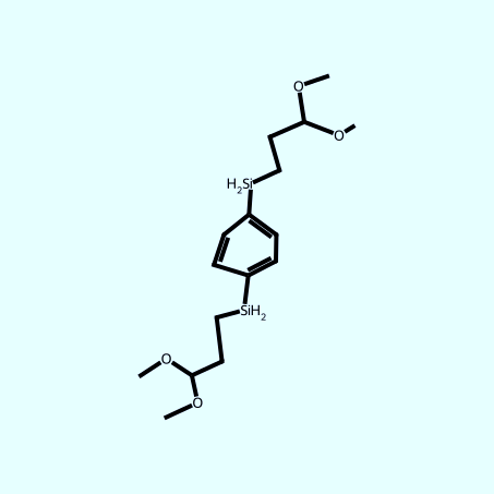 COC(CC[SiH2]c1ccc([SiH2]CCC(OC)OC)cc1)OC